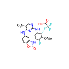 COc1c(F)ccc(Nc2ncc([N+](=O)[O-])c(Nc3ccc4oc(=O)[nH]c4c3)n2)c1F.O=C(O)C(F)(F)F